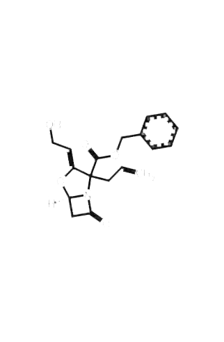 C=CCC1(C(=O)OCc2ccccc2)/C(=C/CO)O[C@@H]2CC(=O)N21